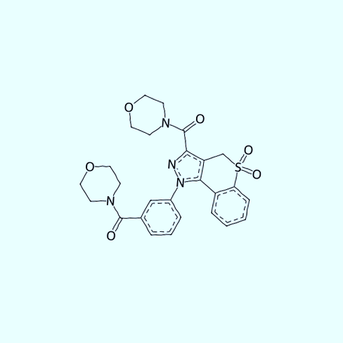 O=C(c1cccc(-n2nc(C(=O)N3CCOCC3)c3c2-c2ccccc2S(=O)(=O)C3)c1)N1CCOCC1